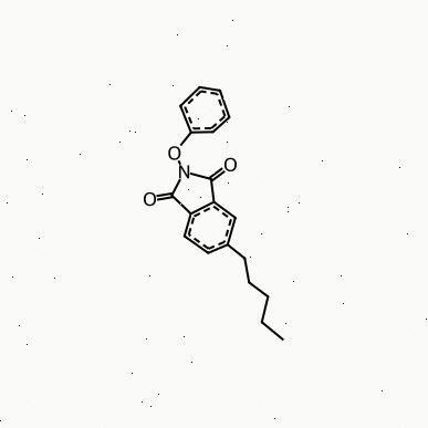 CCCCCc1ccc2c(c1)C(=O)N(Oc1ccccc1)C2=O